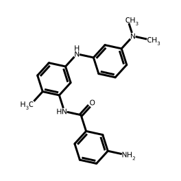 Cc1ccc(Nc2cccc(N(C)C)c2)cc1NC(=O)c1cccc(N)c1